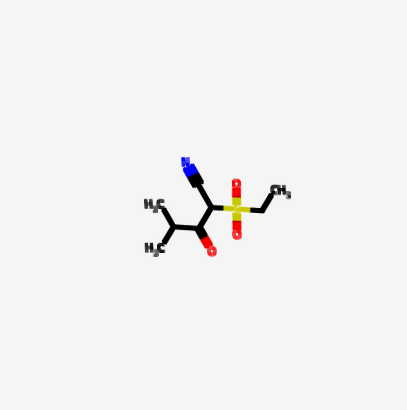 CCS(=O)(=O)C(C#N)C(=O)C(C)C